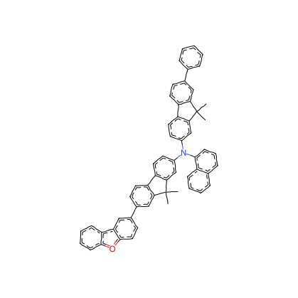 CC1(C)c2cc(-c3ccccc3)ccc2-c2ccc(N(c3ccc4c(c3)C(C)(C)c3cc(-c5ccc6oc7ccccc7c6c5)ccc3-4)c3cccc4ccccc34)cc21